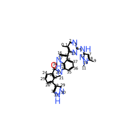 Cc1cnc(Nc2cc(C)n(C)n2)nc1-c1c[nH]c2c(N3Cc4c(cccc4-c4cn[nH]c4)C3=O)cccc12